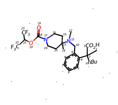 CCCCC(C)(C(=O)O)c1ccccc1CN(C)C1(C)CCN(C(=O)OC(C(F)(F)F)C(F)(F)F)CC1